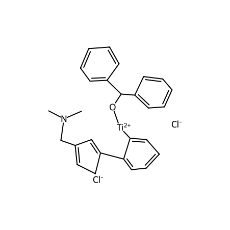 CN(C)CC1=CCC(c2cccc[c]2[Ti+2][O]C(c2ccccc2)c2ccccc2)=C1.[Cl-].[Cl-]